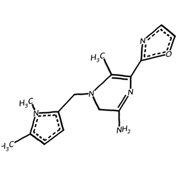 CC1=C(c2ncco2)N=C(N)CN1Cc1ccc(C)n1C